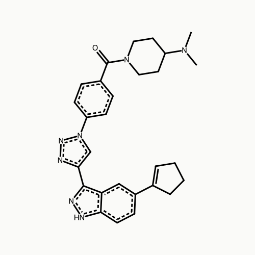 CN(C)C1CCN(C(=O)c2ccc(-n3cc(-c4n[nH]c5ccc(C6=CCCC6)cc45)nn3)cc2)CC1